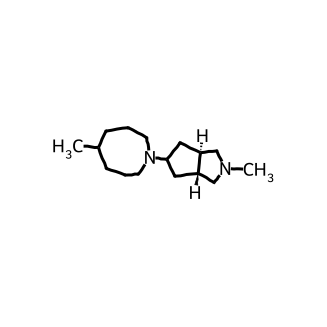 CC1CCCN(C2C[C@H]3CN(C)C[C@@H]3C2)CCC1